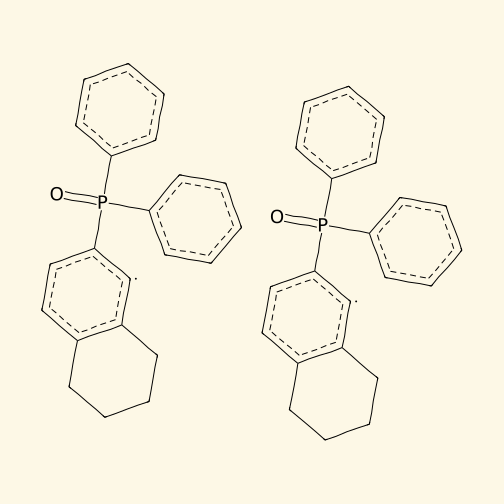 O=P(c1[c]c2c(cc1)CCCC2)(c1ccccc1)c1ccccc1.O=P(c1[c]c2c(cc1)CCCC2)(c1ccccc1)c1ccccc1